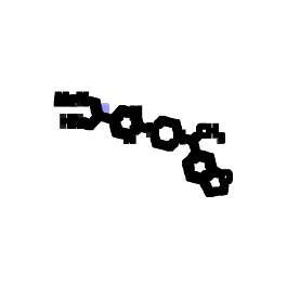 CN/C=C(\C=N)c1cnc(N2CCN(C(C)c3ccc4c(c3)OCC4)CC2)nc1